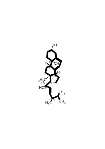 CC(C)[C@@H](C)C=C[C@@](C)(O)[C@H]1CC[C@H]2C3=CC=C4C[C@@H](O)CC[C@]4(C)[C@H]3CC[C@@]21C